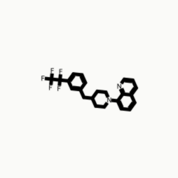 FC(F)(F)C(F)(F)c1cccc(CC2CCN(c3cccc4cccnc34)CC2)c1